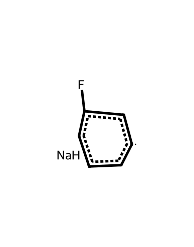 Fc1c[c]ccc1.[NaH]